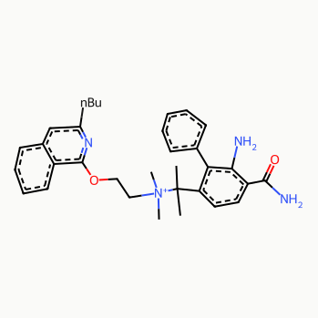 CCCCc1cc2ccccc2c(OCC[N+](C)(C)C(C)(C)c2ccc(C(N)=O)c(N)c2-c2ccccc2)n1